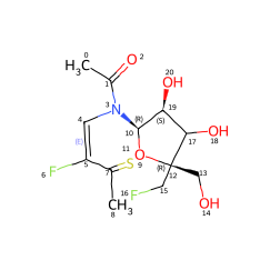 CC(=O)N(/C=C(/F)C(C)=S)[C@@H]1O[C@@](CO)(CF)C(O)[C@@H]1O